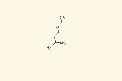 CCOCCC(C)N